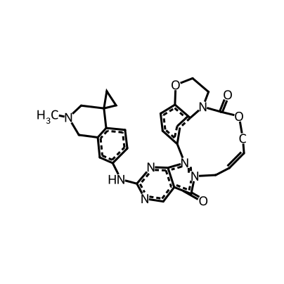 CN1Cc2cc(Nc3ncc4c(=O)n5n(c4n3)-c3ccc4c(c3)N(CCO4)C(=O)OC/C=C\C5)ccc2C2(CC2)C1